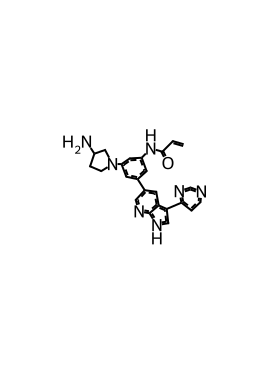 C=CC(=O)Nc1cc(-c2cnc3[nH]cc(-c4ccncn4)c3c2)cc(N2CCC(N)C2)c1